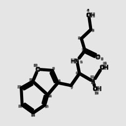 O=C(CCO)NC(Cc1coc2ccccc12)B(O)O